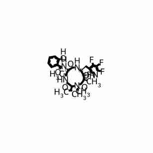 CC(C)C1C(=O)N[C@H](C)[C@H](NC(=O)c2ccccc2O)C(=O)N[C@@H](Cc2c(F)nc(F)c(F)c2F)[C@@H](O)[C@@H](C)C(=O)N1C